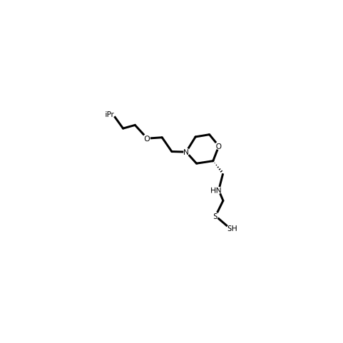 CC(C)CCOCCN1CCO[C@H](CNCSS)C1